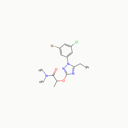 CCCN(CCC)C(=O)C(C)Oc1nc(CC(C)C)n(-c2cc(Cl)cc(Br)c2)n1